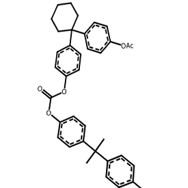 COc1ccc(C(C)(C)c2ccc(OC(=O)Oc3ccc(C4(c5ccc(OC(C)=O)cc5)CCCCC4)cc3)cc2)cc1